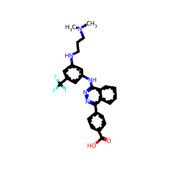 CN(C)CCCNc1cc(Nc2nnc(-c3ccc(C(=O)O)cc3)c3ccccc23)cc(C(F)(F)F)c1